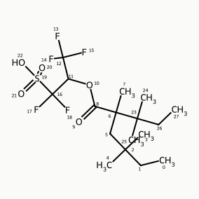 CCC(C)(C)CC(C)(C(=O)OC(C(F)(F)F)C(F)(F)S(=O)(=O)O)C(C)(C)CC